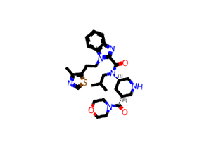 Cc1ncsc1CCn1c(C(=O)N(CC(C)C)[C@@H]2CNC[C@H](C(=O)N3CCOCC3)C2)nc2ccccc21